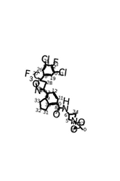 CS(=O)(=O)N1CC(NC(=O)c2ccc(C3=NOC(c4cc(Cl)c(F)c(Cl)c4)(C(F)(F)F)C3)c3c2CCC3)C1